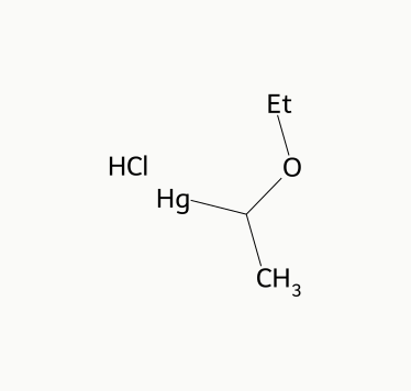 CCO[CH](C)[Hg].Cl